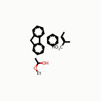 CC=C(C)C(=O)O.CCOC(C)O.c1ccc2c(c1)Cc1ccccc1-2.c1ccccc1